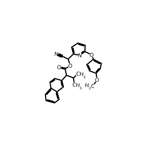 COc1ccc(Oc2cccc(C(C#N)OC(=O)C(c3ccc4ccccc4c3)C(C)C)n2)cc1